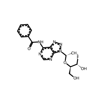 C[C@H](O[C@H](CO)[C@@H](O)F)n1nnc2c(NC(=O)c3ccccc3)ncnc21